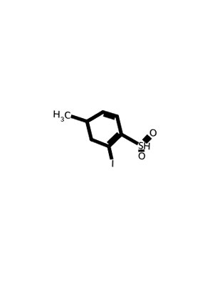 CC1C=CC([SH](=O)=O)=C(I)C1